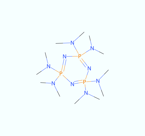 CN(C)P1(N(C)C)=NP(N(C)C)(N(C)C)=NP(N(C)C)(N(C)C)=N1